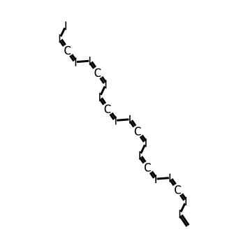 C=II=C=II=C=II=C=II=C=II=C=II=C=II